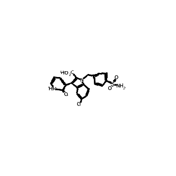 NS(=O)(=O)c1ccc(Cn2c(C(=O)O)c(-c3ccc[nH]c3=O)c3cc(Cl)ccc32)cc1